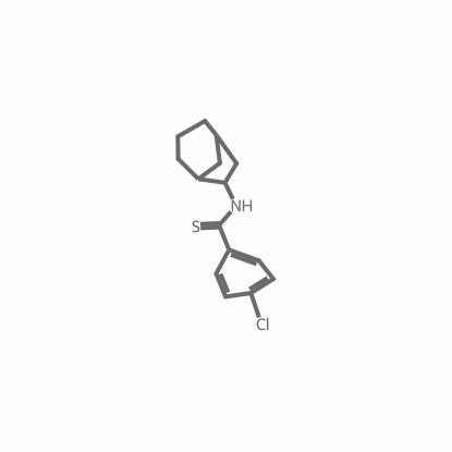 S=C(NC1CC2CCCC1C2)c1ccc(Cl)cc1